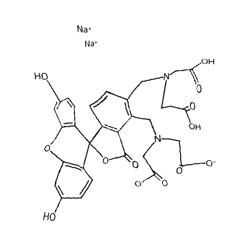 O=C([O-])CN(CC(=O)[O-])Cc1c(CN(CC(=O)O)CC(=O)O)ccc2c1C(=O)OC21c2ccc(O)cc2Oc2cc(O)ccc21.[Na+].[Na+]